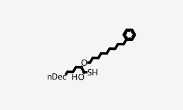 CCCCCCCCCCCCCC(OCCCCCCCCCc1ccccc1)C(O)S